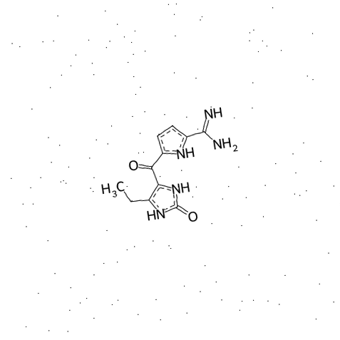 CCc1[nH]c(=O)[nH]c1C(=O)c1ccc(C(=N)N)[nH]1